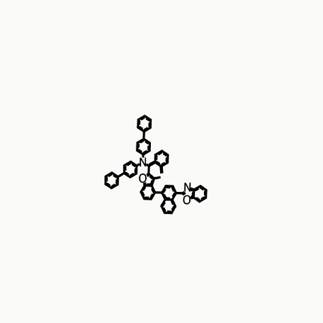 C=c1cccc/c1=C(/c1oc2cccc(-c3ccc(-c4nc5ccccc5o4)c4ccccc34)c2c1C)N(c1ccc(-c2ccccc2)cc1)c1ccc(-c2ccccc2)cc1